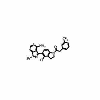 CC(C)n1nc(-c2ccc3c(c2Cl)CCN3C(=O)Cc2cccc(C(F)(F)F)c2)c2c(N)ncnc21